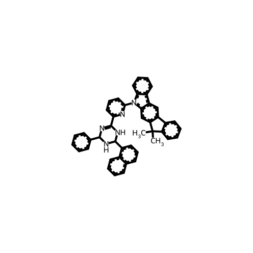 CC1(C)c2ccccc2-c2cc3c4ccccc4n(-c4cccc(C5=NC(c6ccccc6)NC(c6cccc7ccccc67)N5)n4)c3cc21